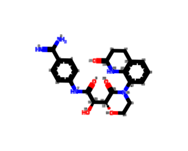 N=C(N)c1ccc(NC(=O)[C@H](O)[C@H]2OCCN(c3cccc4c3NC(=O)CC4)C2=O)cc1